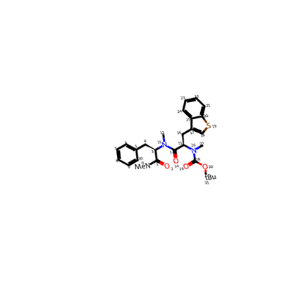 CNC(=O)[C@@H](Cc1ccccc1)N(C)C(=O)[C@@H](Cc1csc2ccccc12)N(C)C(=O)OC(C)(C)C